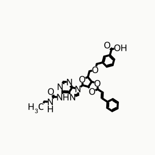 CCNC(=O)Nc1ncnc2c1ncn2C1OC(COCc2cccc(C(=O)O)c2)C2OC(C=Cc3ccccc3)OC21